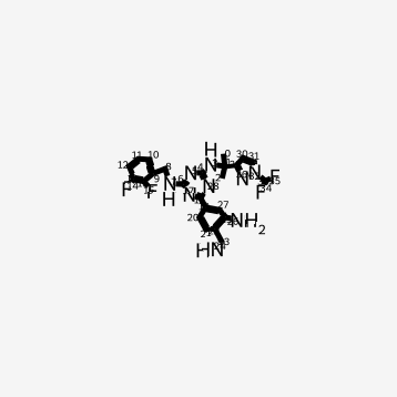 CC(C)(Nc1nc(NCc2cccc(F)c2F)nc(-c2ccc(C=N)c(N)c2)n1)c1ccn(C(F)F)n1